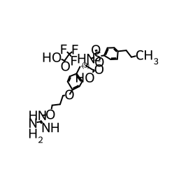 CCCc1ccc(S(=O)(=O)N[C@@H](Cc2ccc(OCCCONC(=N)N)cc2)C(=O)O)cc1.O=C(O)C(F)(F)F